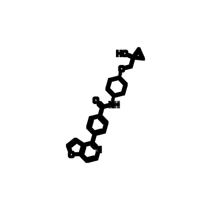 O=C(N[C@H]1CC[C@@H](OCC2(O)CC2)CC1)c1ccc(-c2nccc3occc23)cc1